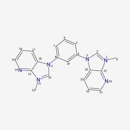 C[n+]1cn(-c2cccc(-n3c[n+](C)c4ncccc43)c2)c2cccnc21